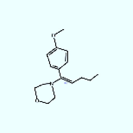 CCC/C=C(\c1ccc(OC)cc1)N1CCOCC1